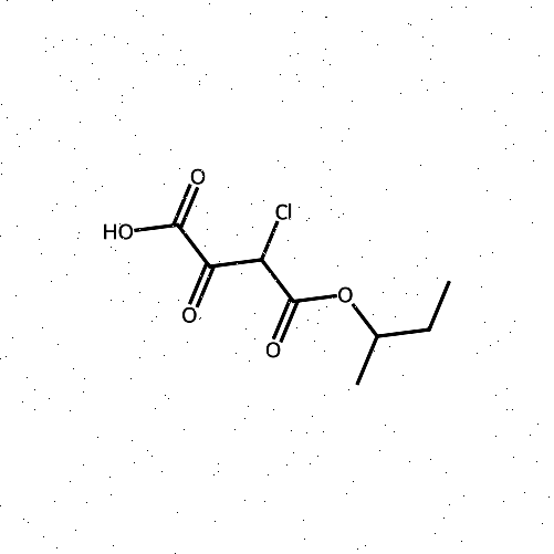 CCC(C)OC(=O)C(Cl)C(=O)C(=O)O